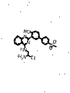 CCC(N)CNc1nc(-c2cc(-c3ccc(S(C)(=O)=O)cc3)ccc2O)nc2ccccc12